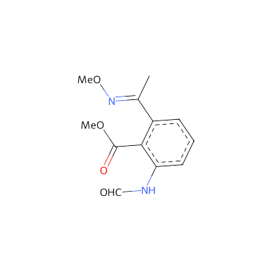 CON=C(C)c1cccc(NC=O)c1C(=O)OC